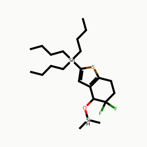 CCC[CH2][Sn]([CH2]CCC)([CH2]CCC)[c]1cc2c(s1)CCC(F)(F)C2O[SiH](C)C